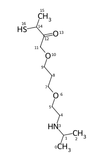 CC(C)NCCOCCCOCC(=O)C(C)S